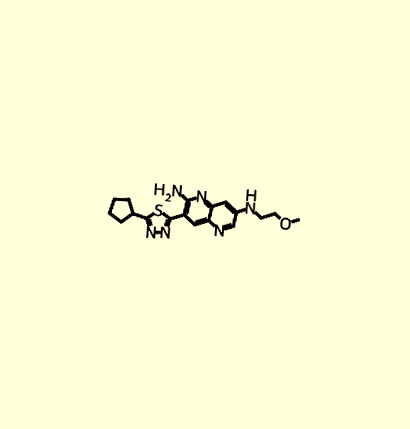 COCCNc1cnc2cc(-c3nnc(C4CCCC4)s3)c(N)nc2c1